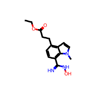 CCOC(=O)CCc1ccc(C(=N)NO)c2c1ccn2C